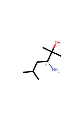 CC(C)C[C@@H](N)C(C)(C)O